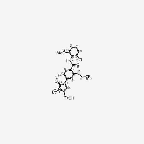 CCn1c(CO)nn(-c2nc(OCC(F)(F)F)c(C(=O)Nc3c(Cl)ccnc3OC)cc2F)c1=O